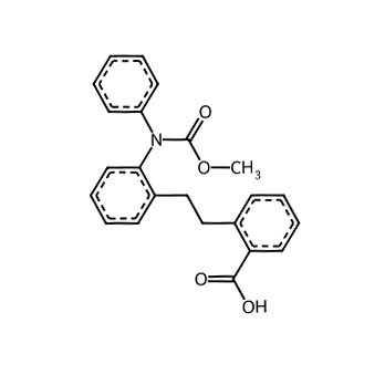 COC(=O)N(c1ccccc1)c1ccccc1CCc1ccccc1C(=O)O